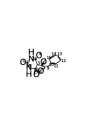 O=C1NC(=O)C(S(=O)(=O)Cc2ccccc2)C(=O)N1